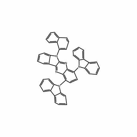 c1ccc2c(-n3c4ccccc4c4nc5c(-n6c7ccccc7c7ccccc76)ccc(-n6c7ccccc7c7ccccc76)c5nc43)cccc2c1